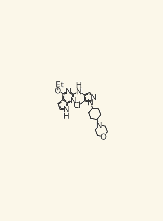 CCOc1nc(Nc2cnn(C3CCC(N4CCOCC4)CC3)c2Cl)nc2[nH]ccc12